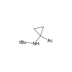 CC(=O)C1(NC(C)(C)C)CC1